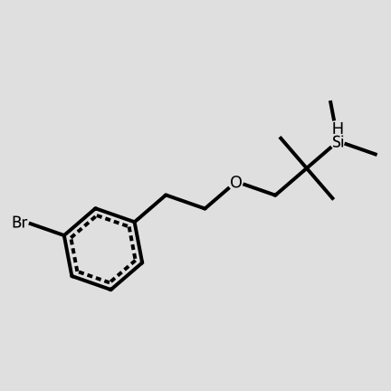 C[SiH](C)C(C)(C)COCCc1cccc(Br)c1